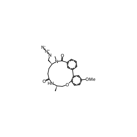 COc1ccc2c(c1)-c1cccc(c1)C(=O)N(C)[C@H](CN=[N+]=[N-])CCC(=O)N[C@H](C)CO2